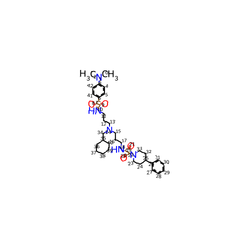 CN(C)c1ccc(S(=O)(=O)NCCCN(CCCNS(=O)(=O)N2CCC(c3ccccc3)CC2)CC2CCCCC2)cc1